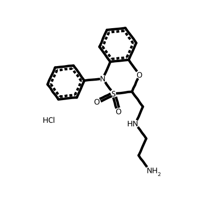 Cl.NCCNCC1Oc2ccccc2N(c2ccccc2)S1(=O)=O